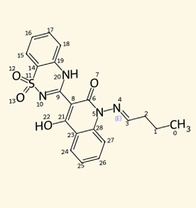 CCC/C=N/n1c(=O)c(C2=NS(=O)(=O)c3ccccc3N2)c(O)c2ccccc21